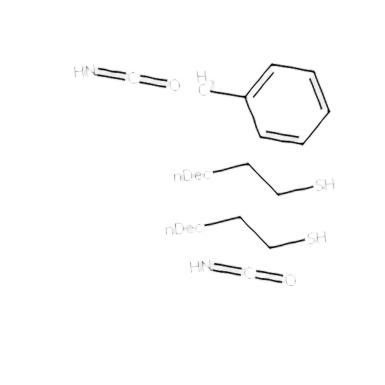 CCCCCCCCCCCCS.CCCCCCCCCCCCS.Cc1ccccc1.N=C=O.N=C=O